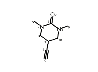 C#CC1CN(C)C(=O)N(C)C1